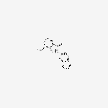 C=C1c2cccc(CC)c2CN1c1ccc2ccsc2c1